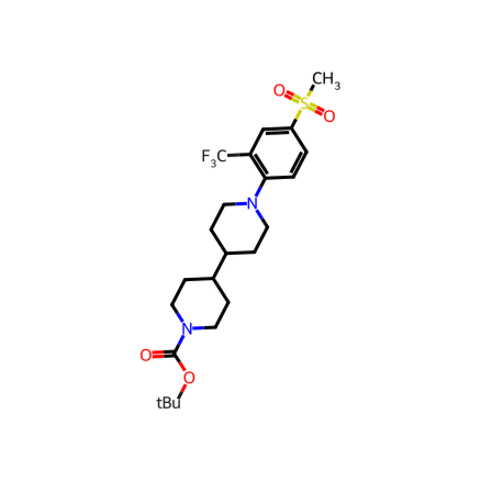 CC(C)(C)OC(=O)N1CCC(C2CCN(c3ccc(S(C)(=O)=O)cc3C(F)(F)F)CC2)CC1